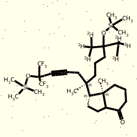 [2H]C([2H])([2H])C(CCC[C@](C)(CC#CC(O[Si](C)(C)C)(C(F)(F)F)C(F)(F)F)[C@H]1CCC2C(=O)CCC[C@@]21C)(O[Si](C)(C)C)C([2H])([2H])[2H]